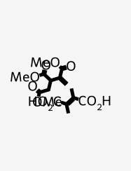 C=C(C(=O)OC)C(CC(=O)OC)C(=O)OC.CC(C(=O)O)=C(C)C(=O)O